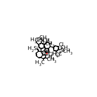 CCc1cc(C2(C3=C(C)C=C4C3=CC=CCC4c3cc(Cl)c([Si](C)(C)C)c(Cl)c3)C(=[SiH2])C=CC=C3C(C)=C(C)[C]([Hf]([Cl])[Cl])=C32)cc(C)c1[Si](C)(C)C